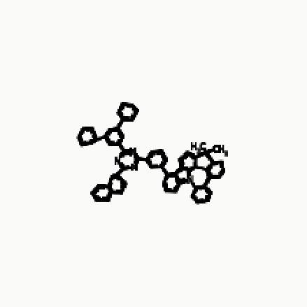 CC1(C)c2cccc3c2-c2c1ccc1c4c(-c5cccc(-c6nc(-c7cc(-c8ccccc8)cc(-c8ccccc8)c7)nc(-c7ccc8ccccc8c7)n6)c5)cccc4n(c21)-c1ccccc1-3